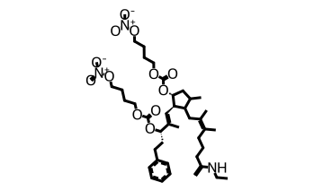 C=C(CCC/C(C)=C(/C)CC1C(C)C[C@@H](OC(=O)OCCCCO[N+](=O)[O-])[C@@H]1/C=C(\C)[C@H](CCc1ccccc1)OC(=O)OCCCCO[N+](=O)[O-])NCC